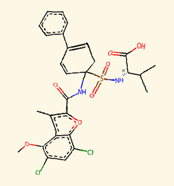 COc1c(Cl)cc(Cl)c2oc(C(=O)NC3(S(=O)(=O)N[C@H](C(=O)O)C(C)C)C=CC(c4ccccc4)=CC3)c(C)c12